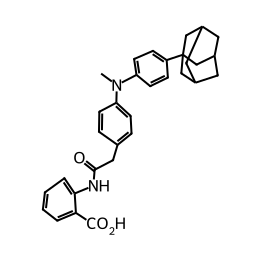 CN(c1ccc(CC(=O)Nc2ccccc2C(=O)O)cc1)c1ccc(C23CC4CC(CC(C4)C2)C3)cc1